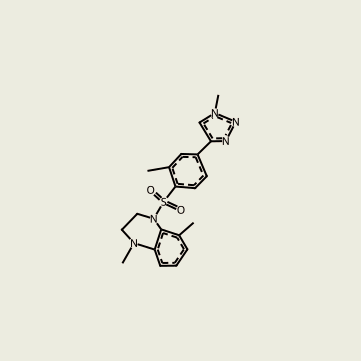 Cc1cc(-c2cn(C)nn2)ccc1S(=O)(=O)N1CCN(C)c2cccc(C)c21